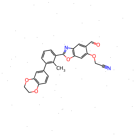 Cc1c(-c2ccc3c(c2)OCCO3)cccc1-c1nc2cc(C=O)c(OCC#N)cc2o1